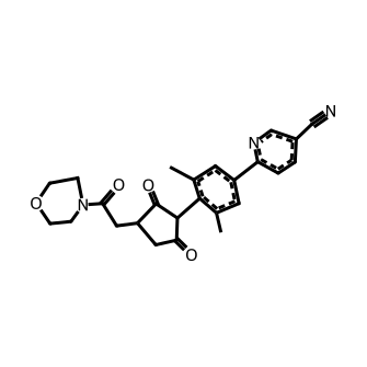 Cc1cc(-c2ccc(C#N)cn2)cc(C)c1C1C(=O)CC(CC(=O)N2CCOCC2)C1=O